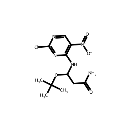 CC(C)(C)OC(CC(N)=O)Nc1nc(Cl)ncc1[N+](=O)[O-]